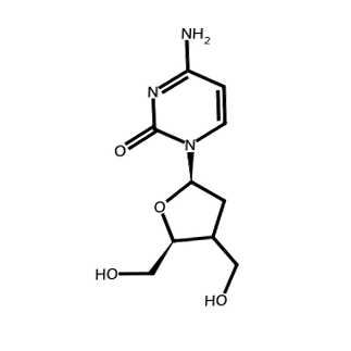 Nc1ccn([C@H]2CC(CO)[C@@H](CO)O2)c(=O)n1